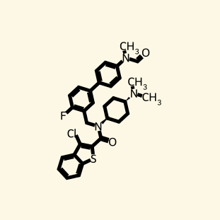 CN(C=O)c1ccc(-c2ccc(F)c(CN(C(=O)c3sc4ccccc4c3Cl)[C@H]3CC[C@H](N(C)C)CC3)c2)cc1